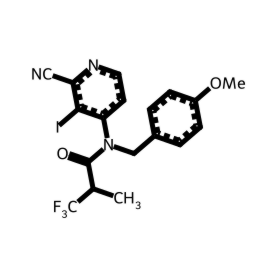 COc1ccc(CN(C(=O)C(C)C(F)(F)F)c2ccnc(C#N)c2I)cc1